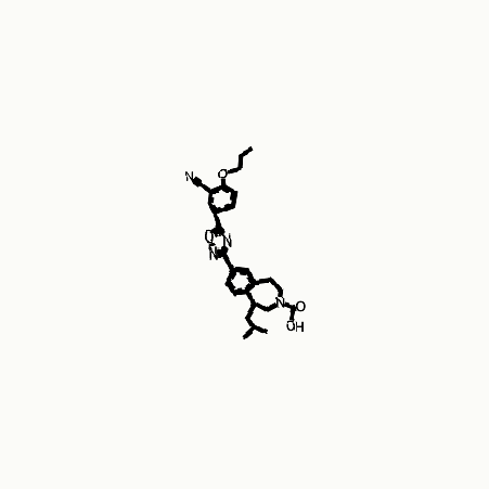 CCCOc1ccc(-c2nc(-c3ccc4c(c3)CCN(C(=O)O)CC4CC(C)C)no2)cc1C#N